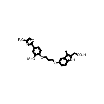 COc1cc(-c2nc(C(F)(F)F)co2)ccc1OCCCOc1ccc2[nH]c(CC(=O)O)c(C)c2c1